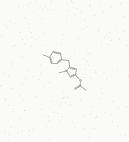 CC(=O)Oc1cc(Cc2ccc(C)cc2)n(C)c1